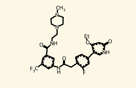 CCOc1cc(=O)[nH]cc1-c1ccc(CC(=O)Nc2cc(C(=O)NCCN3CCN(C)CC3)cc(C(F)(F)F)c2)c(F)c1